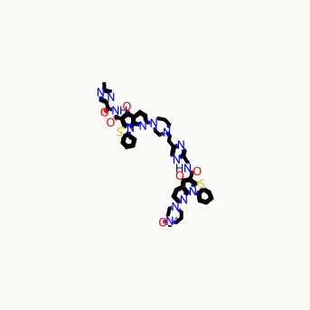 Cc1cnc(C(=O)NC(=O)c2c(=O)c3ccc(N4CCCN(CCc5cnc(CNC(=O)c6c(=O)c7ccc(N8CCC[N+](C)([O-])CC8)nc7n7c6sc6ccccc67)cn5)CC4)nc3n3c2sc2ccccc23)cn1